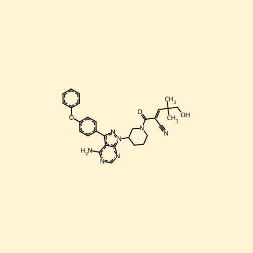 CC(C)(C=C(C#N)C(=O)N1CCCC(n2nc(-c3ccc(Oc4ccccc4)cc3)c3c(N)ncnc32)C1)CO